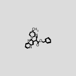 CN1CCN(c2nc3cccnc3cc2C(C#N)C(=O)OCc2ccccc2)CC1